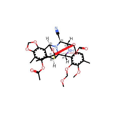 COCOc1c(OC)c(C)cc2c1[C@H]1N[C@@H](C2)[C@H](C#N)N2C1[C@@H]1SC[C@H](OC=O)C(=O)OC[C@H]2c2c3c(c(C)c(OC(C)=O)c21)OCO3